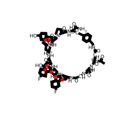 CC(=O)N[C@H]1CC(=O)NCc2ccc(cc2)C[C@@H](C(N)=O)NC(=O)C2(C)CCCN2C(=O)[C@H](Cc2ccc(O)cc2)NC(=O)[C@H](Cc2cnc[nH]2)NC(=O)[C@H](CC(=O)O)NC(=O)[C@H](Cc2c[nH]c3ccc(F)cc23)NC(=O)[C@H](Cc2c[nH]c3ccc(F)cc23)NC(=O)CNC(=O)[C@H](C)NC1=O